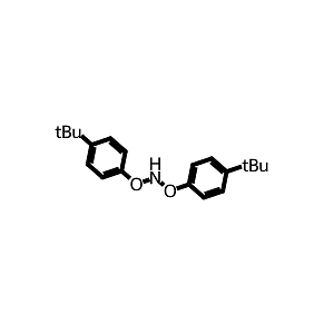 CC(C)(C)c1ccc(ONOc2ccc(C(C)(C)C)cc2)cc1